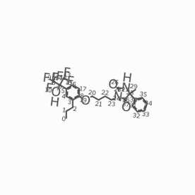 CCCc1cc(C(O)(C(F)(F)F)C(F)(F)F)ccc1OCCCCN1C(=O)NC(C)(c2ccccc2)C1=O